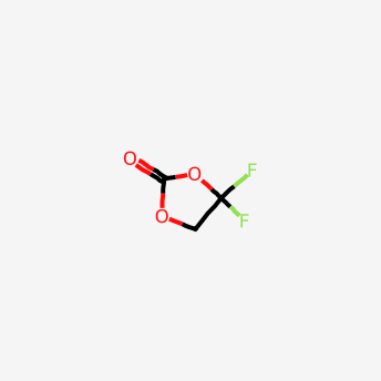 O=C1OCC(F)(F)O1